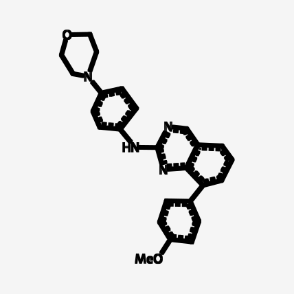 COc1ccc(-c2cccc3cnc(Nc4ccc(N5CCOCC5)cc4)nc23)cc1